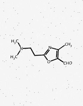 Cc1nc(CCN(C)C)oc1C=O